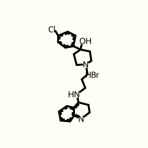 Br.OC1(c2ccc(Cl)cc2)CCN(CCCNC2=c3ccccc3=NCC2)CC1